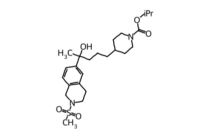 CC(C)OC(=O)N1CCC(CCCC(C)(O)c2ccc3c(c2)CCN(S(C)(=O)=O)C3)CC1